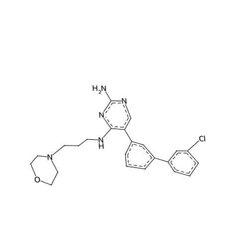 Nc1ncc(-c2cccc(-c3cccc(Cl)c3)c2)c(NCCCN2CCOCC2)n1